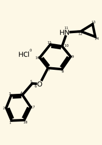 Cl.c1ccc(COc2ccc(NC3CC3)cc2)cc1